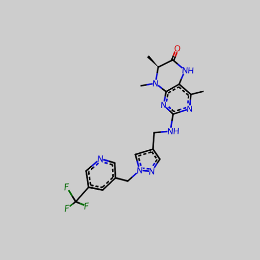 Cc1nc(NCc2cnn(Cc3cncc(C(F)(F)F)c3)c2)nc2c1NC(=O)[C@H](C)N2C